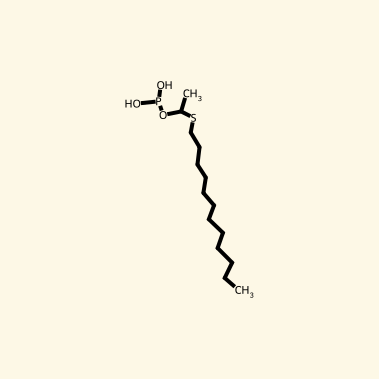 CCCCCCCCCCCCSC(C)OP(O)O